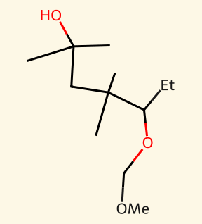 CCC(OCOC)C(C)(C)CC(C)(C)O